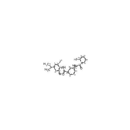 CC(C)c1cc(F)c(NC(=O)c2cccc(NC(=O)c3ccccc3F)c2)c(Br)c1